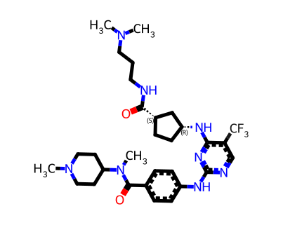 CN(C)CCCNC(=O)[C@H]1CC[C@@H](Nc2nc(Nc3ccc(C(=O)N(C)C4CCN(C)CC4)cc3)ncc2C(F)(F)F)C1